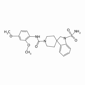 COc1ccc(NC(=O)N2CCC3(CC2)CN(S(N)(=O)=O)c2ccccc23)c(OC)c1